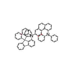 c1ccc(N(c2ccc3c(ccc4cccc(N(c5ccccc5)c5ccccc5)c43)c2)c2cccc3c2C(c2ccccc2)(c2ccccc2)c2ccccc2-3)cc1